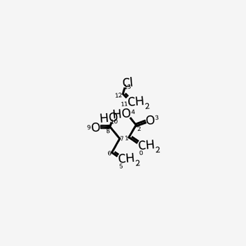 C=CC(=O)O.C=CCC(=O)O.C=CCl